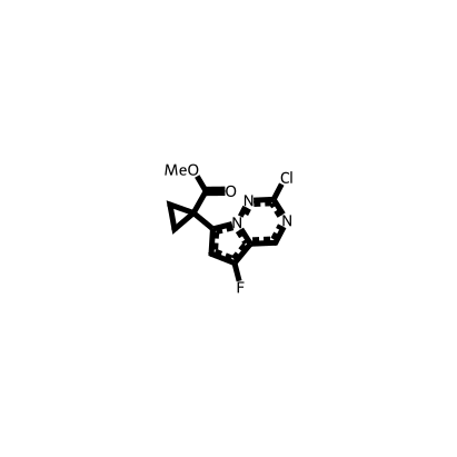 COC(=O)C1(c2cc(F)c3cnc(Cl)nn23)CC1